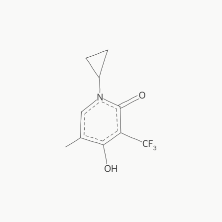 Cc1cn(C2CC2)c(=O)c(C(F)(F)F)c1O